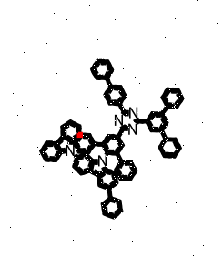 C1=CCC(c2cc(-c3ccccc3)cc(-c3nc(-c4ccc(-c5ccccc5)cc4)nc(-c4cc(-c5ccccc5)c(-n5c6ccc(-c7ccccc7)cc6c6ccc(-n7c8ccccc8c8ccccc87)cc65)c(-c5ccccc5)c4)n3)c2)C=C1